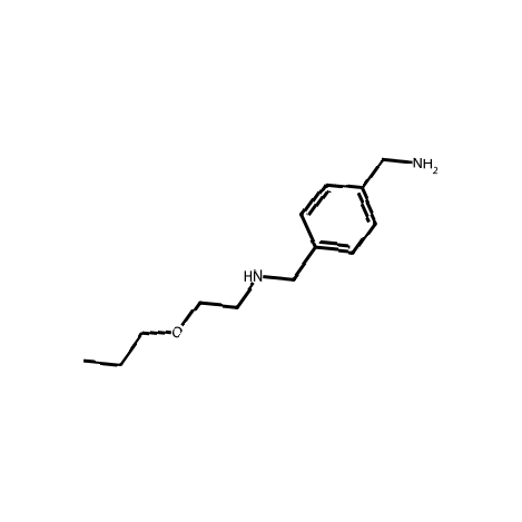 CCCOCCNCc1ccc(CN)cc1